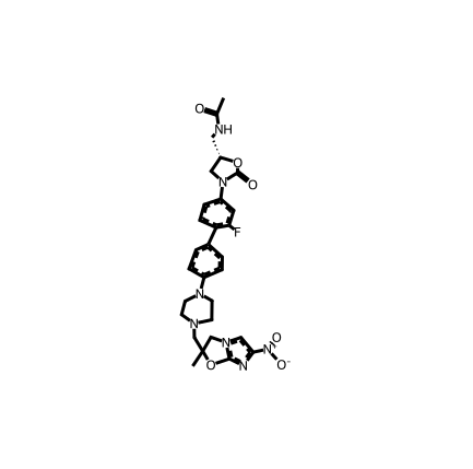 CC(=O)NC[C@H]1CN(c2ccc(-c3ccc(N4CCN(CC5(C)Cn6cc([N+](=O)[O-])nc6O5)CC4)cc3)c(F)c2)C(=O)O1